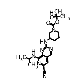 CC(C)Nc1nc(C#N)cc2cnc(NC3CCCN(C(=O)OC(C)(C)C)C3)nc12